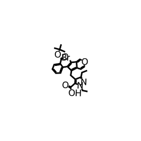 CCc1nn(CC)c(C(=O)O)c1Cc1c2ccocc-2c(Br)c1-c1ccccc1C(=O)OC(C)(C)C